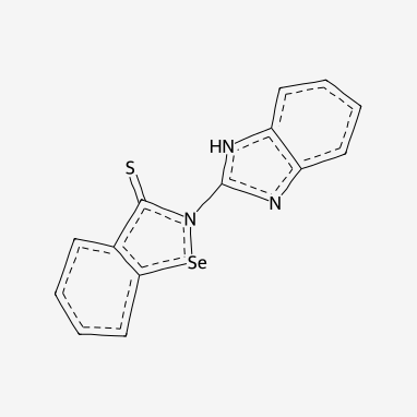 S=c1c2ccccc2[se]n1-c1nc2ccccc2[nH]1